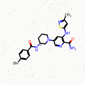 Cc1cc(Nc2cc(N3CCC[C@H](NC(=O)c4ccc(C(C)(C)C)cc4)C3)cnc2C(N)=O)sn1